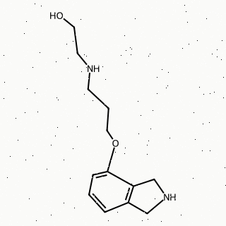 OCCNCCCOc1cccc2c1CNC2